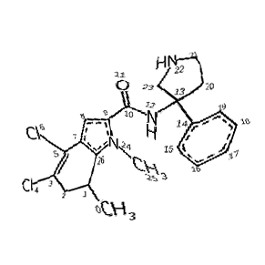 CC1CC(Cl)=C(Cl)c2cc(C(=O)NC3(c4ccccc4)CCNC3)n(C)c21